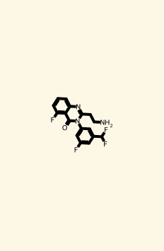 NCCc1nc2cccc(F)c2c(=O)n1-c1cc(F)cc(C(F)F)c1